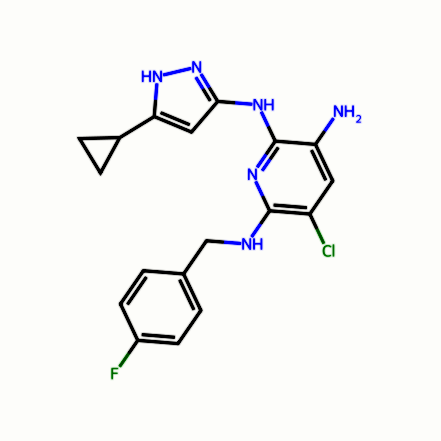 Nc1cc(Cl)c(NCc2ccc(F)cc2)nc1Nc1cc(C2CC2)[nH]n1